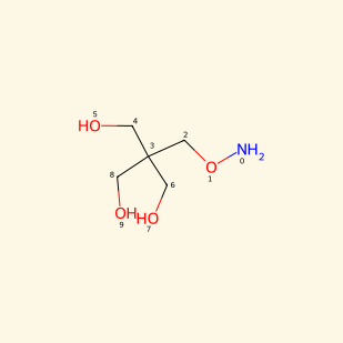 NOCC(CO)(CO)CO